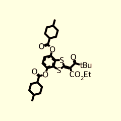 CCOC(=O)C(C(=O)C(C)(C)C)=C1Sc2c(OC(=O)C3CCC(C)CC3)ccc(OC(=O)C3CCC(C)CC3)c2S1